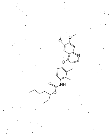 CCCCC(CC)OC(=O)Nc1ccc(Oc2ccnc3cc(OC)c(OC)cc23)c(C)c1C